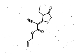 C=CCOC(=O)C(C#N)=C1SCC(=O)N1CC